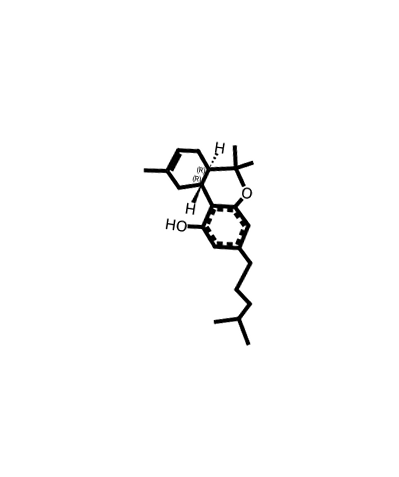 CC1=CC[C@@H]2[C@@H](C1)c1c(O)cc(CCCC(C)C)cc1OC2(C)C